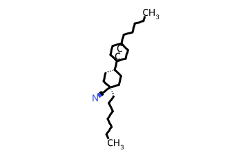 CCCCCCC[C@]1(C#N)CC[C@H](C23CCC(CCCCC)(CC2)CC3)CC1